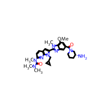 COc1cc(C(=O)N2CCC[C@@H](N)C2)cc2nc(-c3cc4ccc(N(C)C(=O)N(C)C)nc4n3CC3CC3)n(C)c12